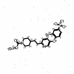 CCS(=O)(=O)c1ccc(Oc2ccc(CCC3CCN(C(=O)OC(C)(C)C)CC3)nc2)c(Br)c1